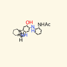 CC(=O)Nc1ccccc1Nc1cc2c(cc1O)[C@@]13CCCC[C@H]1[C@@H](C2)NCC3